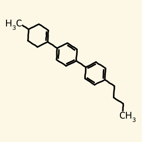 CCCCc1ccc(-c2ccc(C3=CCC(C)CC3)cc2)cc1